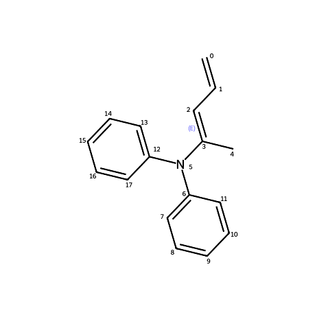 C=C/C=C(\C)N(c1ccccc1)c1ccccc1